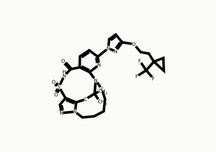 CC1(C)Cc2c3cnn2CCCCCN1c1nc(-n2ccc(OCCC4(C(F)(F)F)CC4)n2)ccc1C(=O)NS3(=O)=O